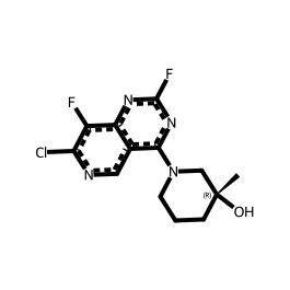 C[C@@]1(O)CCCN(c2nc(F)nc3c(F)c(Cl)ncc23)C1